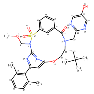 COCN1c2nc(cc(-c3c(C)cccc3C)n2)OC[C@@H](CC(C)(C)C)N(Cc2ncc(O)cn2)C(=O)c2cccc(c2)S1(=O)=O